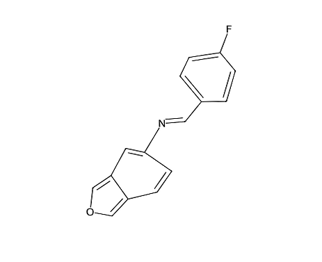 Fc1ccc(/C=N/c2ccc3cocc3c2)cc1